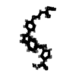 COC(=O)CCOc1ccc(-n2nnc3cnc(N[C@@H]4CC[C@@H](C(N)=O)C4)nc32)cc1